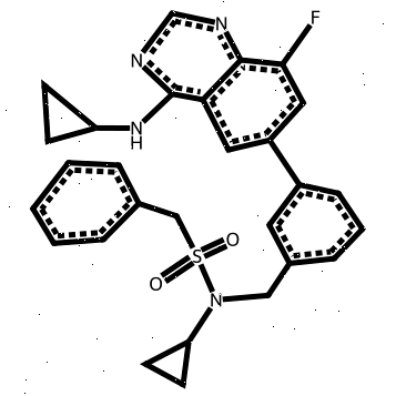 O=S(=O)(Cc1ccccc1)N(Cc1cccc(-c2cc(F)c3ncnc(NC4CC4)c3c2)c1)C1CC1